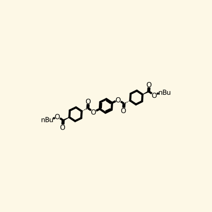 CCCCOC(=O)[C@H]1CC[C@H](C(=O)Oc2ccc(OC(=O)[C@H]3CC[C@H](C(=O)OCCCC)CC3)cc2)CC1